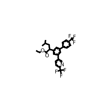 CCOC(=O)C(CC(C)C)c1cc(-c2ccc(C(F)(F)F)cc2)cc(-c2ccc(C(F)(F)F)nc2)c1